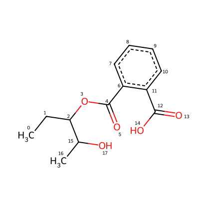 CCC(OC(=O)c1ccccc1C(=O)O)C(C)O